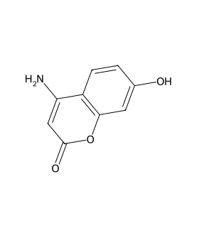 Nc1cc(=O)oc2cc(O)ccc12